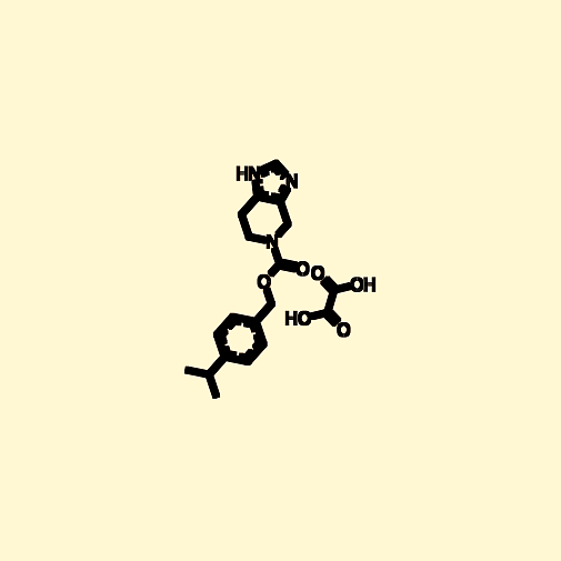 CC(C)c1ccc(COC(=O)N2CCc3[nH]cnc3C2)cc1.O=C(O)C(=O)O